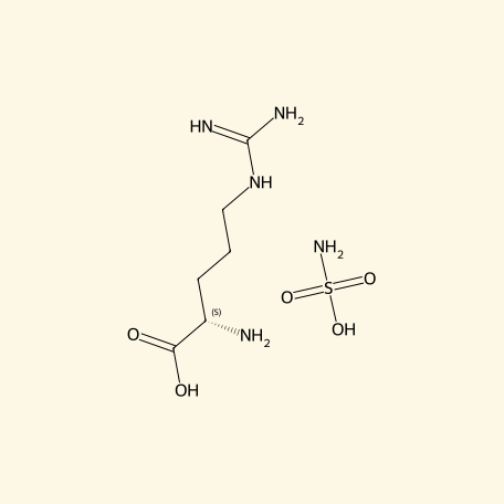 N=C(N)NCCC[C@H](N)C(=O)O.NS(=O)(=O)O